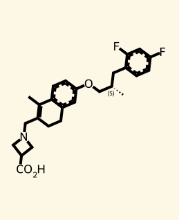 CC1=C(CN2CC(C(=O)O)C2)CCc2cc(OC[C@@H](C)Cc3ccc(F)cc3F)ccc21